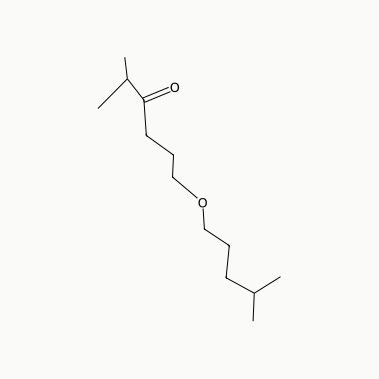 CC(C)CCCOCCCC(=O)C(C)C